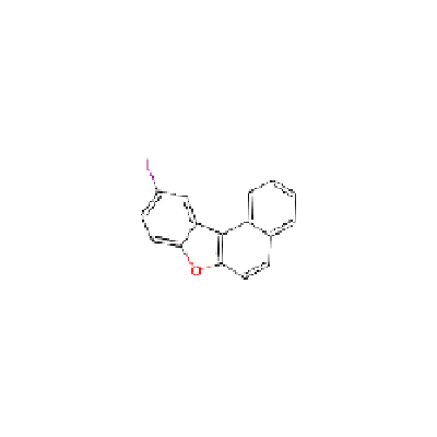 Ic1ccc2oc3ccc4ccccc4c3c2c1